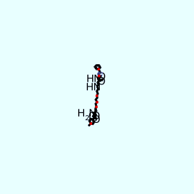 COC(CCNCCCCCCCCCCCC(N)OS(=O)(=O)c1ccc(C)cc1)NC(=O)/C=C/c1ccccc1